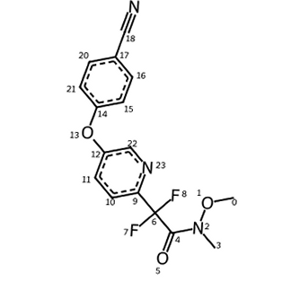 CON(C)C(=O)C(F)(F)c1ccc(Oc2ccc(C#N)cc2)cn1